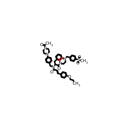 CCCOc1ccc(C=CC(=O)N(Cc2ccc(N3CCN(C(C)=O)CC3)cc2)C(Cc2ccccc2)C(=O)N2CCN(Cc3ccc(S(C)(=O)=O)cc3)CC2)cc1